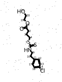 O=C(CCCSC(=S)NCCc1ccc(Cl)cc1)OCCO